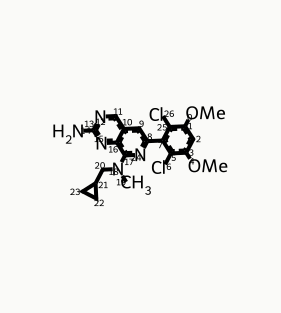 COc1cc(OC)c(Cl)c(-c2cc3cnc(N)nc3c(N(C)CC3CC3)n2)c1Cl